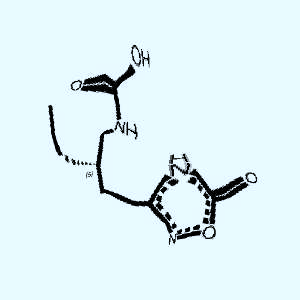 CC[C@@H](Cc1noc(=O)[nH]1)NC(=O)O